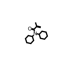 C=C(C)C(=O)N(C1CCCCC1)C1CCCCC1